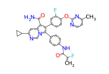 C=C(F)C(=O)Nc1ccc(-c2c(-c3ccc(Oc4nccc(C)n4)c(F)c3)c(C(N)=O)c3cc(C4CC4)ncn23)cc1